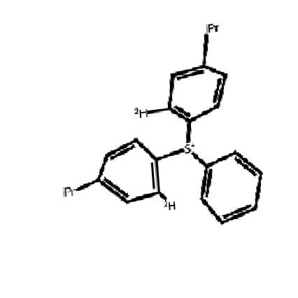 [2H]c1cc(C(C)C)ccc1[S+](c1ccccc1)c1ccc(C(C)C)cc1[2H]